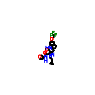 O=C1N[C@@]2(CCc3cc(OCC(F)(F)F)ccc32)Cc2nn(CCC3CC3)c(C(=O)NC3CCOC3)c21